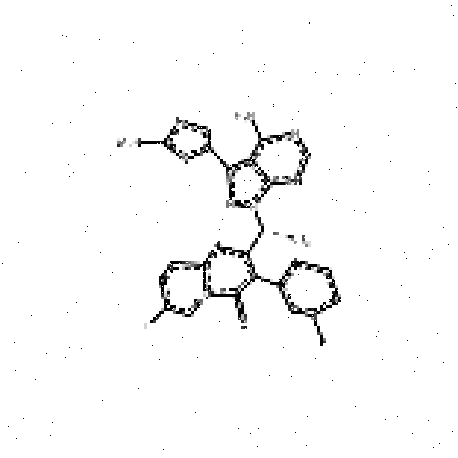 CNc1ncc(-c2nn([C@H](C)c3nc4ccc(F)cn4c(=O)c3-c3cccc(F)c3)c3ncnc(N)c23)s1